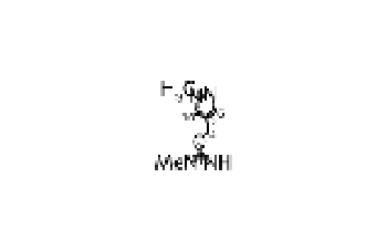 CNC(=N)OCc1cnn(C)c1